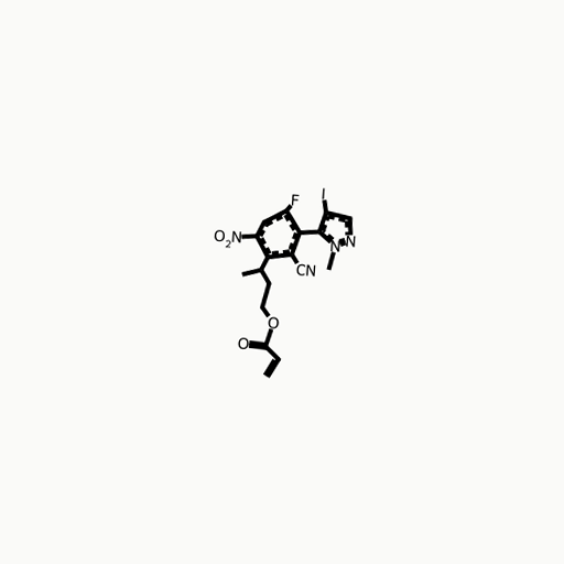 C=CC(=O)OCCC(C)c1c([N+](=O)[O-])cc(F)c(-c2c(I)cnn2C)c1C#N